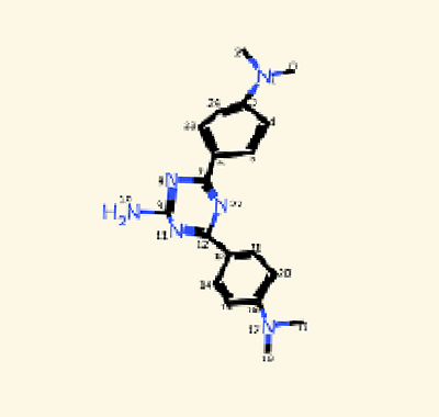 CN(C)c1ccc(-c2nc(N)nc(-c3ccc(N(C)C)cc3)n2)cc1